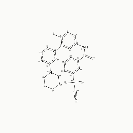 C=C(Nc1ccc(C)c(-c2ccnc(N3CCCCC3)c2)c1)c1ccnc(C(C)(C)C#N)c1